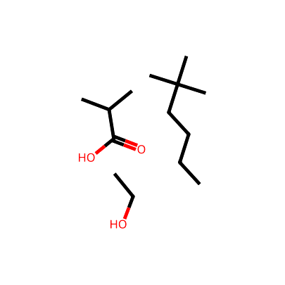 CC(C)C(=O)O.CCCCC(C)(C)C.CCO